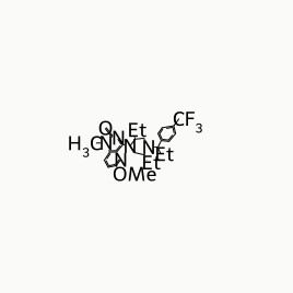 CCC(c1ccc(C(F)(F)F)cc1)N1C[C@H](CC)N(c2nc(=O)n(C)c3ccc(OC)nc23)C[C@H]1CC